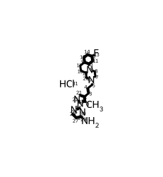 Cc1c(/C=C/CN2CCN3c4cc(F)ccc4CCC3C2)cnn1-c1nccc(N)n1.Cl